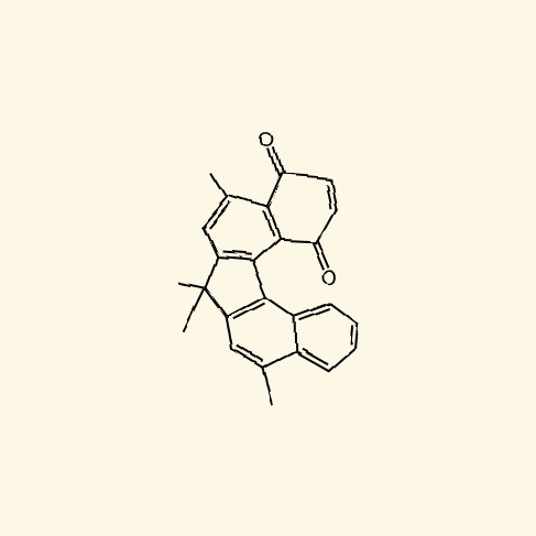 Cc1cc2c(c3c1C(=O)C=CC3=O)-c1c(cc(C)c3ccccc13)C2(C)C